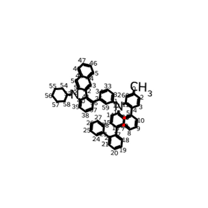 Cc1ccc(-c2ccccc2)c(N(c2ccc(-c3ccccc3-c3ccccc3)cc2)c2cccc(-c3cccc4c3c3cc5ccccc5cc3n4C3CCCCC3)c2)c1